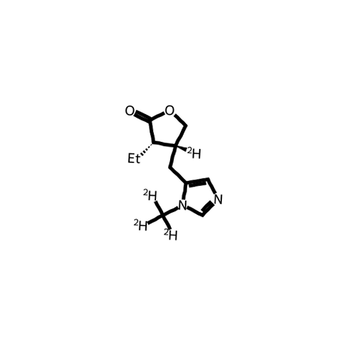 [2H]C([2H])([2H])n1cncc1C[C@@]1([2H])COC(=O)[C@H]1CC